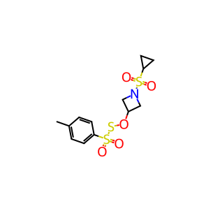 Cc1ccc(S(=O)(=O)SOC2CN(S(=O)(=O)C3CC3)C2)cc1